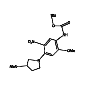 CNC1CCN(c2cc(OC)c(NC(=O)OC(C)(C)C)cc2[N+](=O)[O-])C1